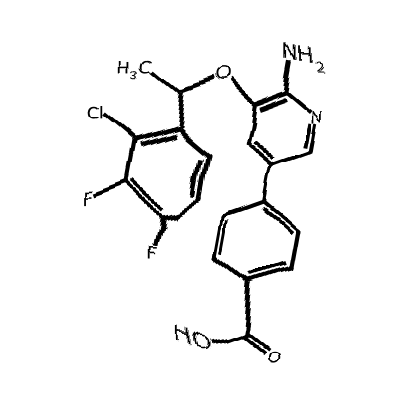 CC(Oc1cc(-c2ccc(C(=O)O)cc2)cnc1N)c1ccc(F)c(F)c1Cl